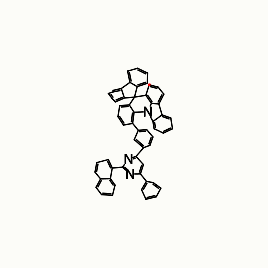 c1ccc(-c2cc(-c3cccc(-c4cccc5c4-n4c6ccccc6c6cccc(c64)C54c5ccccc5-c5ccccc54)c3)nc(-c3cccc4ccccc34)n2)cc1